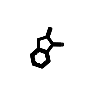 C=C1Cc2ccccc2C1=O